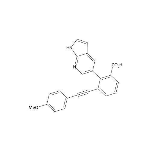 COc1ccc(C#Cc2cccc(C(=O)O)c2-c2cnc3[nH]ccc3c2)cc1